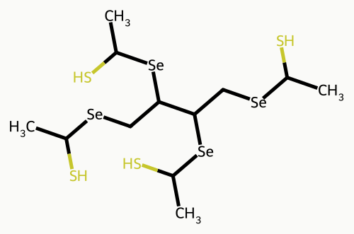 CC(S)[Se]CC([Se]C(C)S)C(C[Se]C(C)S)[Se]C(C)S